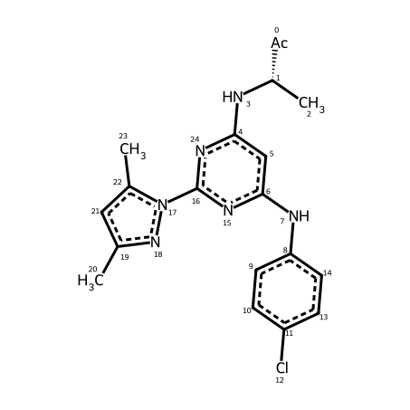 CC(=O)[C@H](C)Nc1cc(Nc2ccc(Cl)cc2)nc(-n2nc(C)cc2C)n1